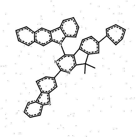 CC1(C)c2cc(-c3ccccc3)ccc2-c2c(-n3c4ccccc4c4cc5ccccc5cc43)nc(-c3ccc4c(c3)sc3ccccc34)nc21